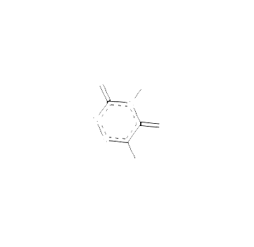 Cc1n[nH]c(=O)n(C)c1=O